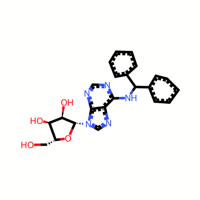 OC[C@H]1O[C@@H](n2cnc3c(NC(c4ccccc4)c4ccccc4)ncnc32)[C@H](O)[C@@H]1O